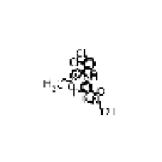 C=CC(=O)N1CC[C@](Nc2cc(F)c3ncn(CCO)c(=O)c3c2)(c2c(F)ccc(Cl)c2Cl)C1